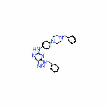 c1ccc(CN2CCN(c3ccc(Nc4ncc5nnn(Cc6ccccc6)c5n4)cc3)CC2)cc1